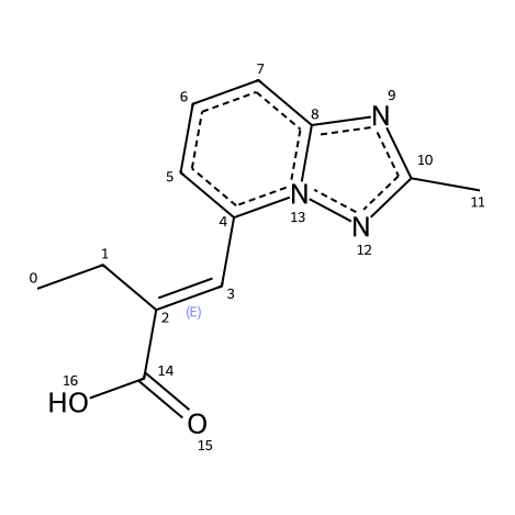 CC/C(=C\c1cccc2nc(C)nn12)C(=O)O